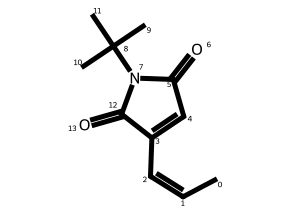 C/C=C\C1=CC(=O)N(C(C)(C)C)C1=O